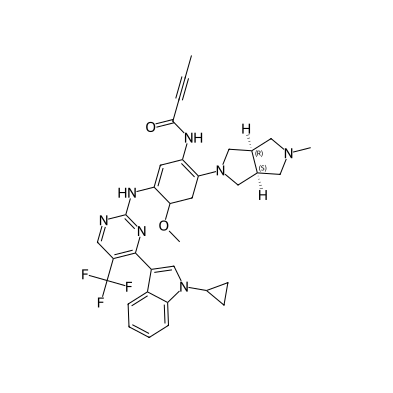 CC#CC(=O)NC1=C(N2C[C@H]3CN(C)C[C@H]3C2)CC(OC)C(Nc2ncc(C(F)(F)F)c(-c3cn(C4CC4)c4ccccc34)n2)=C1